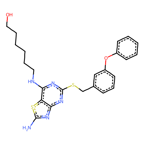 Nc1nc2nc(SCc3cccc(Oc4ccccc4)c3)nc(NCCCCCCO)c2s1